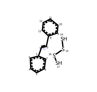 C(=C\c1ccccc1)/c1ccccc1.SSSS